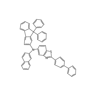 c1ccc(-c2ccc(-c3nc4cc(N(c5ccc6c(c5)C(c5ccccc5)(c5ccccc5)c5ccccc5-6)c5ccc6ccccc6c5)ccc4s3)cc2)cc1